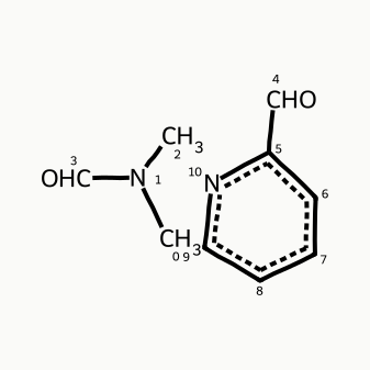 CN(C)C=O.O=Cc1ccccn1